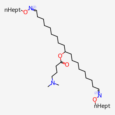 CCCCCCCO/N=C\CCCCCCCCC(CCCCCCCC/C=N\OCCCCCCC)OC(=O)CCCN(C)C